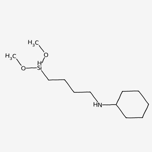 CO[SiH](CCCCNC1CCCCC1)OC